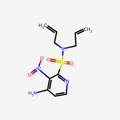 C=CCN(CC=C)S(=O)(=O)c1nccc(N)c1[N+](=O)[O-]